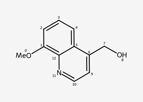 COc1cccc2c(CO)ccnc12